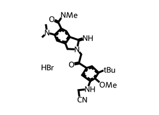 Br.CNC(=O)c1cc2c(cc1N(C)C)CN(CC(=O)c1cc(NCC#N)c(OC)c(C(C)(C)C)c1)C2=N